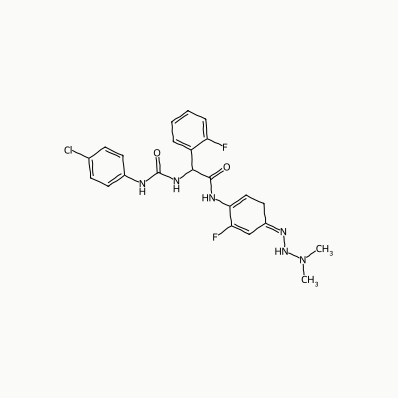 CN(C)NN=C1C=C(F)C(NC(=O)C(NC(=O)Nc2ccc(Cl)cc2)c2ccccc2F)=CC1